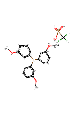 CC(C)(C)Oc1cccc([S+](c2cccc(OC(C)(C)C)c2)c2cccc(OC(C)(C)C)c2)c1.O=S(=O)(O)C(F)(F)F